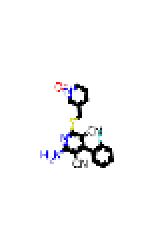 N#Cc1c(N)nc(SCc2ccc[n+]([O-])c2)c(C#N)c1-c1ccccc1F